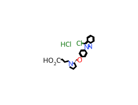 Cl.O=C(O)CCCN1CCC[C@H]1COc1ccc(-n2nc3ccccc3c2Cl)cc1